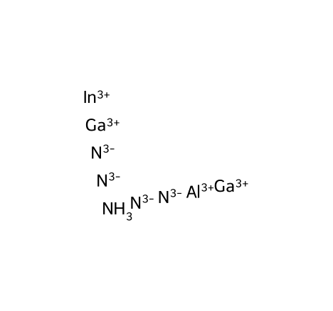 N.[Al+3].[Ga+3].[Ga+3].[In+3].[N-3].[N-3].[N-3].[N-3]